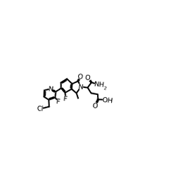 CC1c2c(ccc(-c3nccc(CCl)c3F)c2F)C(=O)N1C(CCC(=O)O)C(N)=O